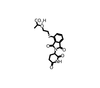 CC(OCCSc1cccc2c1C(=O)N(C1CCC(=O)NC1=O)C2=O)C(=O)O